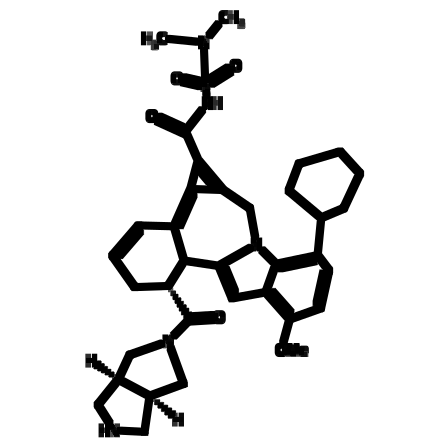 COc1ccc(C2CCCCC2)c2c1cc1n2CC2=C(C(=O)NS(=O)(=O)N(C)C)C2=C2C=CC[C@@H](C(=O)N3C[C@H]4CNC[C@H]4C3)C21